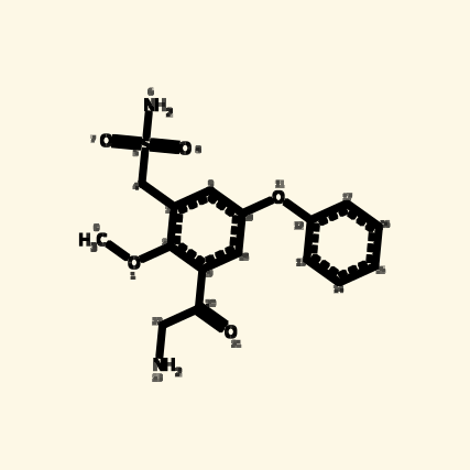 COc1c(CS(N)(=O)=O)cc(Oc2ccccc2)cc1C(=O)CN